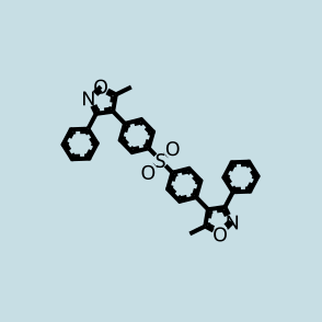 Cc1onc(-c2ccccc2)c1-c1ccc(S(=O)(=O)c2ccc(-c3c(-c4ccccc4)noc3C)cc2)cc1